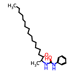 CCCCCCCCCCCCCCC[C@@H](O)[C@H](C)NC(=O)Nc1ccccc1